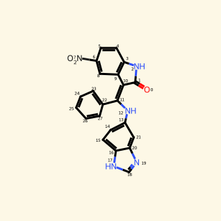 O=C1Nc2ccc([N+](=O)[O-])cc2/C1=C(/Nc1ccc2[nH]cnc2c1)c1ccccc1